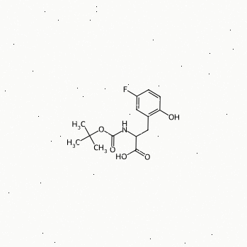 CC(C)(C)OC(=O)NC(Cc1cc(F)ccc1O)C(=O)O